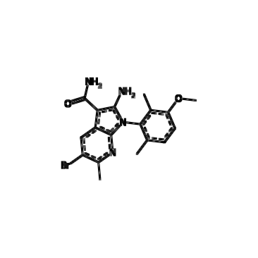 COc1ccc(C)c(-n2c(N)c(C(N)=O)c3cc(Br)c(C)nc32)c1C